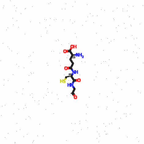 N[C@@H](CCC(=O)N[C@@H](CS)C(=O)NC[C]=O)C(=O)O